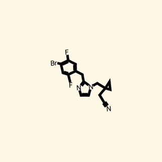 N#CCC1(Cn2ccnc2Cc2cc(F)c(Br)cc2F)CC1